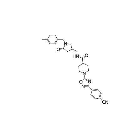 Cc1ccc(CN2CC(CNC(=O)C3CCN(c4nc(-c5ccc(C#N)cc5)no4)CC3)CC2=O)cc1